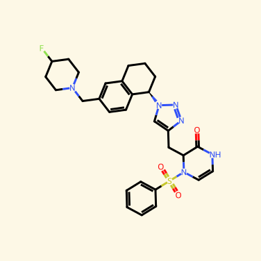 O=C1NC=CN(S(=O)(=O)c2ccccc2)C1Cc1cn([C@@H]2CCCc3cc(CN4CCC(F)CC4)ccc32)nn1